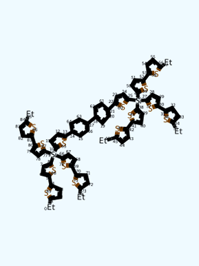 CCc1ccc(-c2ccc([Si](c3ccc(-c4ccc(-c5ccc(-c6ccc([Si](c7ccc(-c8ccc(CC)s8)s7)(c7ccc(-c8ccc(CC)s8)s7)c7ccc(-c8ccc(CC)s8)s7)s6)cc5)cc4)s3)(c3ccc(-c4ccc(CC)s4)s3)c3ccc(-c4ccc(CC)s4)s3)s2)s1